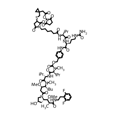 CC[C@H](C)C([C@@H](CC(=O)N1C[C@@H](O)C[C@H]1[C@H](OC)[C@@H](C)C(=O)NCCc1c(F)cccc1F)OC)N(C)C(=O)[C@@H](NC(=O)[C@H](C(C)C)N(C)C(=O)OCc1ccc(NC(=O)[C@H](CCCNC(N)=O)NC(=O)[C@@H](NC(=O)CCCCCN2C(=O)CC(SCC3(CC(=O)ON4C(=O)CCC4=O)CC3)C2=O)C(C)C)cc1)C(C)C